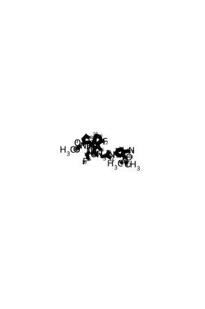 COC(=O)N[C@H]1CCC[C@@H]1[C@](CN(C)CCF)(c1cccc(F)c1)C1CCN(CC2CN(c3ccc(C#N)c(C(=O)N(C)C)c3)C2)CC1